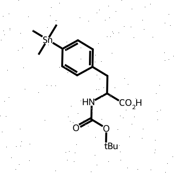 CC(C)(C)OC(=O)NC(Cc1cc[c]([Sn]([CH3])([CH3])[CH3])cc1)C(=O)O